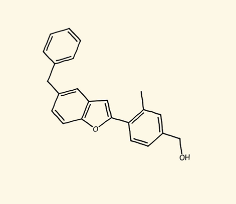 Cc1cc(CO)ccc1-c1cc2cc(Cc3ccccc3)ccc2o1